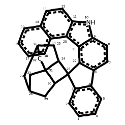 c1ccc2c(c1)-c1ccc3[nH]c4ccc5ccccc5c4c3c1C21C2CC3CC4CC1C2(C3)C4